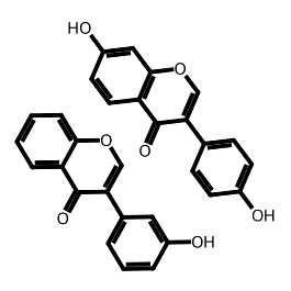 O=c1c(-c2ccc(O)cc2)coc2cc(O)ccc12.O=c1c(-c2cccc(O)c2)coc2ccccc12